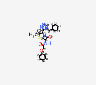 CC1(C)SC2C(NC(=O)COc3ccccc3)C(=O)N2C1c1nnnn1Cc1ccccc1